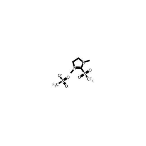 CN1CC[N+](C)=C1S(=O)(=O)C(F)(F)F.O=S(=O)([O-])C(F)(F)F